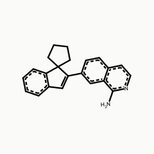 Nc1nccc2ccc(C3=Cc4ccccc4C34CCCC4)cc12